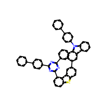 c1ccc(-c2ccc(-c3nc(-c4ccccc4)nc(-c4cccc5sc6ccc(-c7ccc8c(c7)c7ccccc7n8-c7ccc(-c8ccccc8)cc7)cc6c45)n3)cc2)cc1